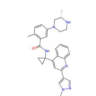 Cc1ccc(N2CCN[C@@H](C)C2)cc1C(=O)NC1(c2cc(-c3cnn(C)c3)nc3ccccc23)CC1